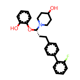 Oc1ccccc1O[C@@H](CCc1ccc(-c2ccccc2F)cc1)N1CCC(O)CC1